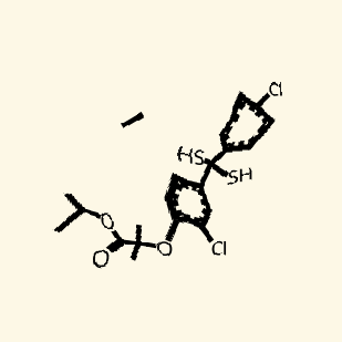 CC.CC(C)OC(=O)C(C)(C)Oc1ccc(C(S)(S)c2ccc(Cl)cc2)cc1Cl